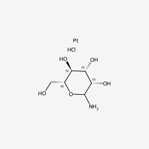 Cl.NC1O[C@H](CO)[C@@H](O)[C@H](O)[C@@H]1O.[Pt]